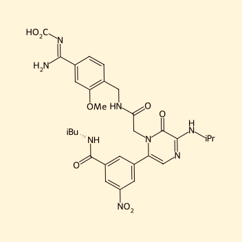 CC[C@@H](C)NC(=O)c1cc(-c2cnc(NC(C)C)c(=O)n2CC(=O)NCc2ccc(/C(N)=N/C(=O)O)cc2OC)cc([N+](=O)[O-])c1